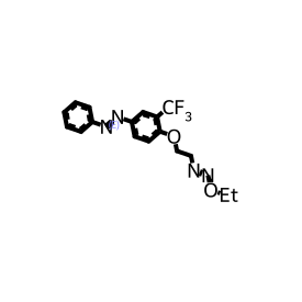 CCON=NCCOc1ccc(/N=N/c2ccccc2)cc1C(F)(F)F